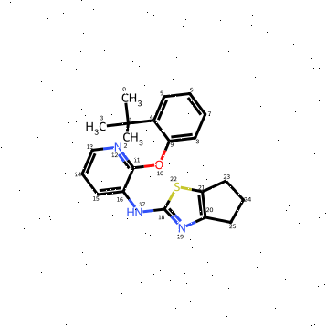 CC(C)(C)c1ccccc1Oc1ncccc1Nc1nc2c(s1)CCC2